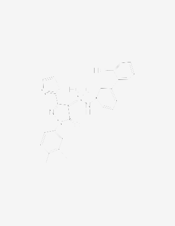 Cc1ccc(N2N=C(c3nccs3)C(=NNC3(C(=O)O)C=CC=C(c4ccccc4O)C3)C2=O)cc1C